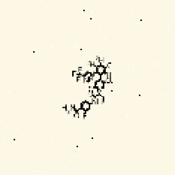 [2H]c1c([2H])c(-n2cc(C(F)(F)F)nn2)c(-c2cc(=O)n([C@@H](CC)C(=O)Nc3ccc(C(N)=O)c(F)c3)cc2OC)c([2H])c1Cl